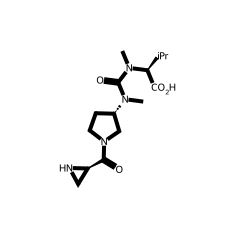 CC(C)[C@@H](C(=O)O)N(C)C(=O)N(C)[C@H]1CCN(C(=O)[C@H]2CN2)C1